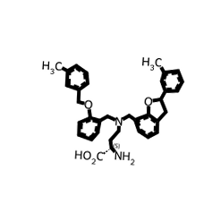 Cc1cccc(COc2ccccc2CN(CC[C@H](N)C(=O)O)Cc2cccc3c2OC(c2cccc(C)c2)C3)c1